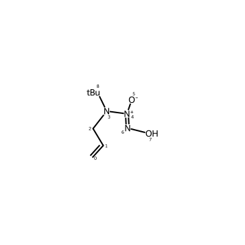 C=CCN([N+]([O-])=NO)C(C)(C)C